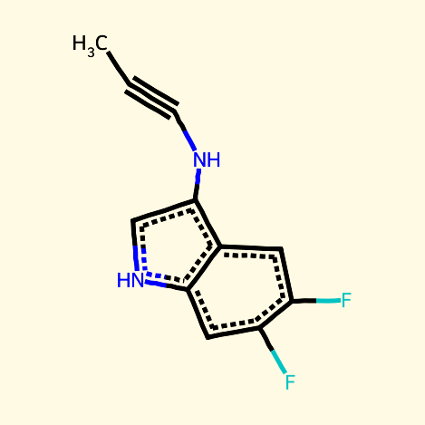 CC#CNc1c[nH]c2cc(F)c(F)cc12